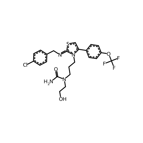 NC(=O)N(CCO)CCCn1c(-c2ccc(OC(F)(F)F)cc2)csc1=NCc1ccc(Cl)cc1